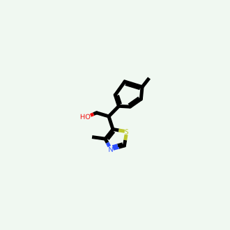 Cc1ccc(C(CO)c2scnc2C)cc1